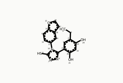 CCc1cc(-c2nnc(S)n2-c2ccc3occc3c2)c(O)cc1O